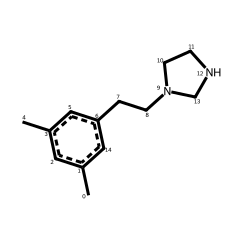 Cc1cc(C)cc(CCN2CCNC2)c1